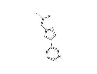 [CH2]/C(F)=C/c1cc(-c2cccnc2)cs1